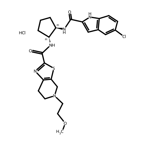 COCCN1CCc2nc(C(=O)N[C@@H]3CCC[C@H]3NC(=O)c3cc4cc(Cl)ccc4[nH]3)sc2C1.Cl